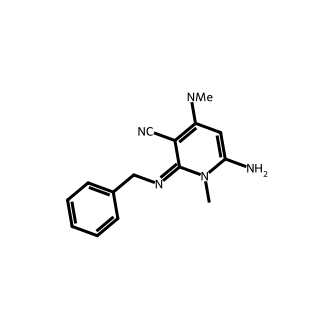 CNc1cc(N)n(C)c(=NCc2ccccc2)c1C#N